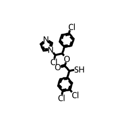 O=C(OC(c1ccc(Cl)cc1)C(Cl)n1ccnc1)C(S)c1ccc(Cl)c(Cl)c1